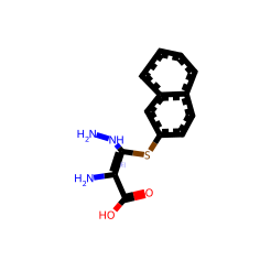 NN/C(Sc1ccc2ccccc2c1)=C(\N)C(=O)O